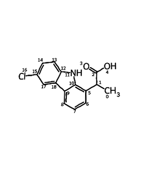 CC(C(=O)O)c1cccc2c1[nH]c1ccc(Cl)cc12